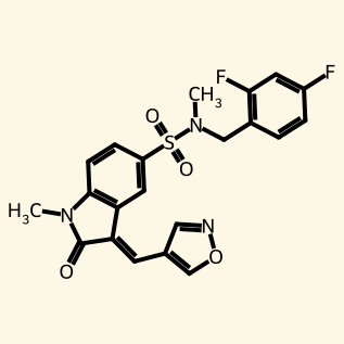 CN1C(=O)/C(=C/c2cnoc2)c2cc(S(=O)(=O)N(C)Cc3ccc(F)cc3F)ccc21